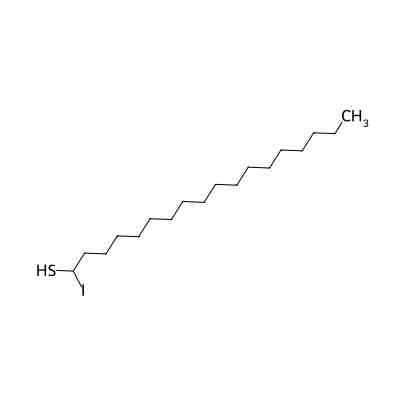 CCCCCCCCCCCCCCCCCC(S)I